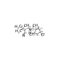 CC(NCC(C#N)C(C)(C)C)c1ccc(Cl)cc1Cl